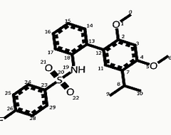 COc1cc(OC)c(C(C)C)cc1-c1ccccc1NS(=O)(=O)c1ccc(F)cc1